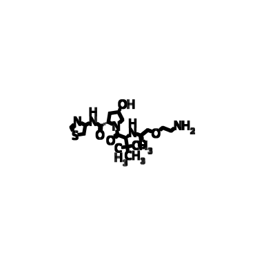 CC(C)(C)[C@H](NC(=O)COCCN)C(=O)N1C[C@H](O)C[C@H]1C(=O)NC1CSC=N1